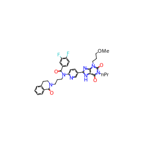 CCCn1c(=O)c2[nH]c(-c3ccc(N(CCCN4CCc5ccccc5C4=O)C(=O)c4ccc(F)c(F)c4)nc3)nc2n(CCCOC)c1=O